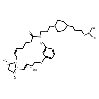 O=C(CCC/C=C\C[C@@H]1[C@@H](/C=C/[C@@H](O)COc2cccc(C(F)(F)F)c2)[C@H](O)C[C@@H]1O)OCCCN1CCC(CCCON(O)O)CC1